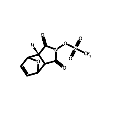 O=C1C2C3C=CC(O3)[C@@H]2C(=O)N1OS(=O)(=O)C(F)(F)F